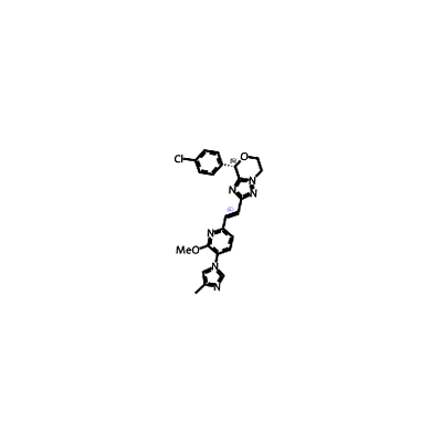 COc1nc(/C=C/c2nc3n(n2)CCO[C@H]3c2ccc(Cl)cc2)ccc1-n1cnc(C)c1